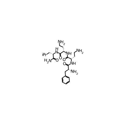 CC(C)C[C@H](NC(=O)[C@H](CCN)NC(=O)[C@H](CCN)NC(=O)[C@H](N)Cc1ccccc1)C(N)=O